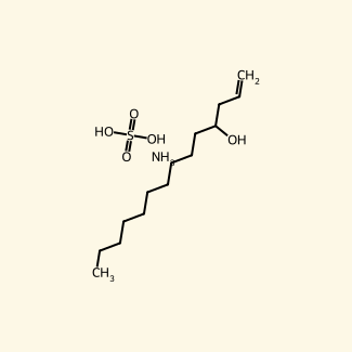 C=CCC(O)CCCCCCCCCC.N.O=S(=O)(O)O